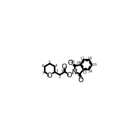 O=C(CC1CCCCO1)ON1C(=O)c2ccccc2C1=O